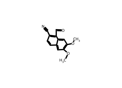 COc1cc2ccc(C#N)c(C=O)c2cc1OC